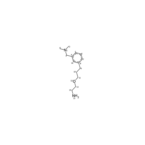 CN(C)Cc1cccc(CCCOCCN)c1